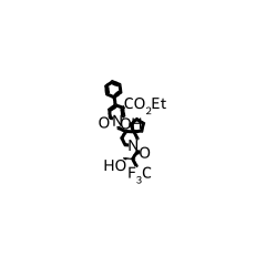 CCOC(=O)c1cn(CC2(O)CCN(C(=O)[C@H](CO)CC(F)(F)F)CC23CCCC3)c(=O)cc1-c1ccccc1